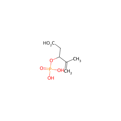 C=C(C)C(CC(=O)O)OP(=O)(O)O